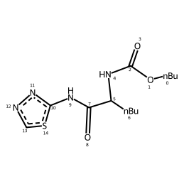 CCCCOC(=O)NC(CCCC)C(=O)Nc1nncs1